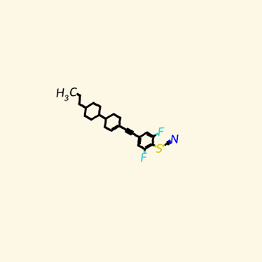 CCCC1CCC(C2CC=C(C#Cc3cc(F)c(SC#N)c(F)c3)CC2)CC1